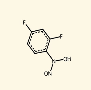 O=NN(O)c1ccc(F)cc1F